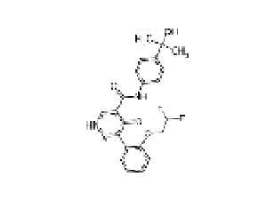 CC(C)(O)c1ccc(NC(=O)c2c[nH]nc(-c3ccccc3OCC(F)F)c2=O)cc1